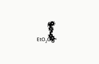 CCOC(=O)CN1C(=O)C(C)Cc2cc(CCN3CCN(c4nsc5ccccc45)CC3)ccc21